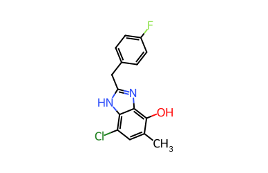 Cc1cc(Cl)c2[nH]c(Cc3ccc(F)cc3)nc2c1O